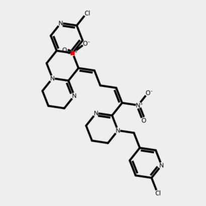 O=[N+]([O-])/C(=C/C/C=C(\C1=NCCCN1Cc1ccc(Cl)nc1)[N+](=O)[O-])C1=NCCCN1Cc1ccc(Cl)nc1